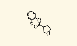 O=C(Oc1ccccc1F)C1CCOC1